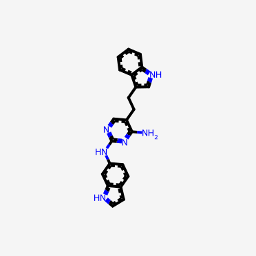 Nc1nc(Nc2ccc3cc[nH]c3c2)ncc1CCc1c[nH]c2ccccc12